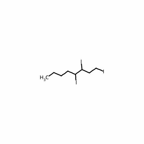 CCCCC(I)C(I)CCI